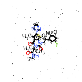 COc1ccc(F)cc1C(Cn1c(=O)n(C(C)(C)C(=O)NC(C)C)c(=O)c2c(C)c(-n3nccn3)sc21)OC(C)=O